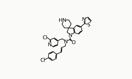 O=C(N(CC=Cc1ccc(Cl)cc1)Cc1ccnc(Cl)c1)N1CC2(CCNCC2)c2cc(-c3nccs3)ccc21